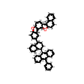 c1ccc(-c2c3ccccc3c(-c3ccc(-c4ccc5oc6ccc7c(oc8ccc9ccccc9c87)c6c5c4)c4ccccc34)c3ccccc23)cc1